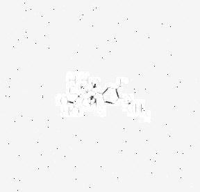 COc1ccc(S(=O)(=O)NC(C)(C)C(=O)O)cc1F